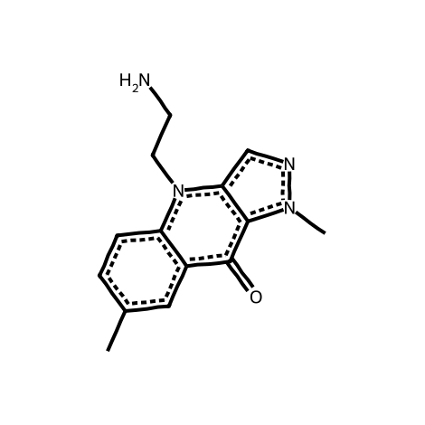 Cc1ccc2c(c1)c(=O)c1c(cnn1C)n2CCN